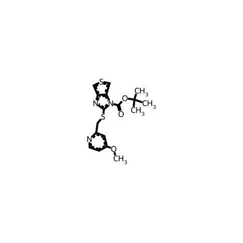 COc1ccnc(CSc2nc3cscc3n2C(=O)OC(C)(C)C)c1